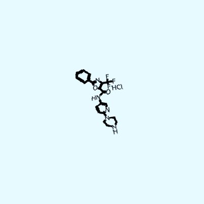 Cl.O=C(Nc1ccc(N2CCNCC2)nc1)c1oc(-c2ccccc2)nc1C(F)(F)F